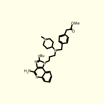 CCCCc1nc2c(N)nc3ccccc3c2n1CCCN(Cc1ccc(CC(=O)OC)cc1)C1CCN(C)CC1